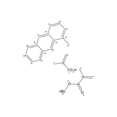 C=C(C)C(=O)O.C=C(C)C(=O)OCCCC.Cc1cccc2cc3ccccc3cc12